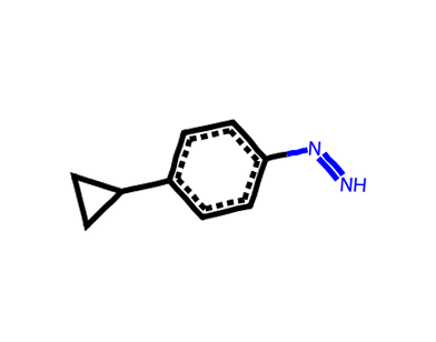 N=Nc1ccc(C2CC2)cc1